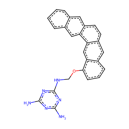 Nc1nc(N)nc(NCOc2cccc3cc4ccc5cc6ccccc6cc5c4cc23)n1